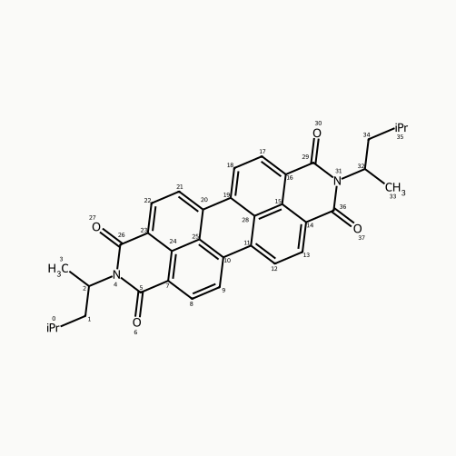 CC(C)CC(C)N1C(=O)c2ccc3c4ccc5c6c(ccc(c7ccc(c2c37)C1=O)c64)C(=O)N(C(C)CC(C)C)C5=O